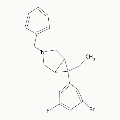 CCC1(c2cc(F)cc(Br)c2)C2CN(Cc3ccccc3)CC21